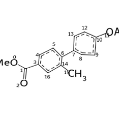 COC(=O)c1ccc(-c2ccc(OC(C)=O)cc2)c(C)c1